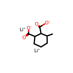 CC1CCCC(C(=O)[O-])C1C(=O)[O-].[Li+].[Li+]